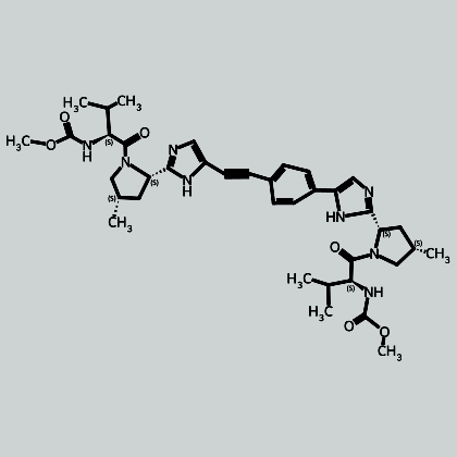 COC(=O)N[C@H](C(=O)N1C[C@@H](C)C[C@H]1c1ncc(C#Cc2ccc(-c3cnc([C@@H]4C[C@H](C)CN4C(=O)[C@@H](NC(=O)OC)C(C)C)[nH]3)cc2)[nH]1)C(C)C